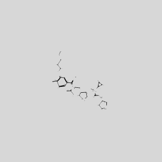 COCCCOc1cc(C(=O)N(C[C@@H]2CNC[C@H]2CN(C(=O)O[C@H]2CCOC2)C2CC2)C(C)C)ccc1C